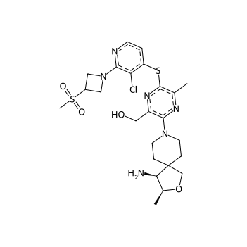 Cc1nc(N2CCC3(CC2)CO[C@@H](C)[C@H]3N)c(CO)nc1Sc1ccnc(N2CC(S(C)(=O)=O)C2)c1Cl